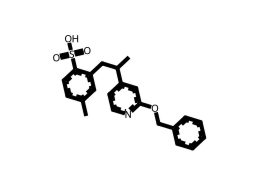 Cc1ccc(S(=O)(=O)O)c(CC(C)c2ccnc(OCc3ccccc3)c2)c1